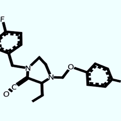 CCC1C(=C=O)N(Cc2ccc(F)cc2)CCN1COc1ccc(Cl)cc1